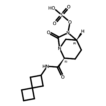 O=C(NC1CC2(CCC2)C1)[C@@H]1CC[C@@H]2CN1C(=O)N2OS(=O)(=O)O